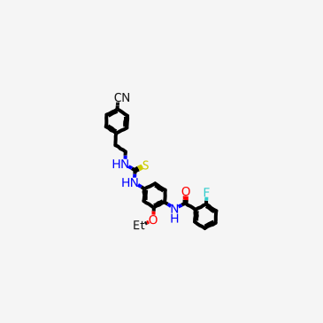 CCOc1cc(NC(=S)NCCc2ccc(C#N)cc2)ccc1NC(=O)c1ccccc1F